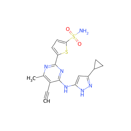 C#Cc1c(C)nc(-c2ccc(S(N)(=O)=O)s2)nc1Nc1cc(C2CC2)n[nH]1